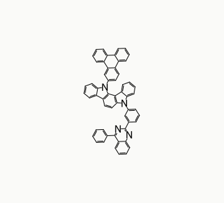 c1ccc(-c2nc(-c3cccc(-n4c5ccccc5c5c4ccc4c6ccccc6n(-c6ccc7c8ccccc8c8ccccc8c7c6)c45)c3)nc3ccccc23)cc1